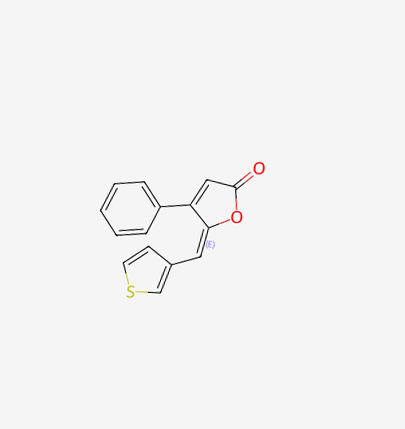 O=C1C=C(c2ccccc2)/C(=C\c2ccsc2)O1